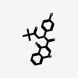 CC(C)(C)C(=O)CN(C(=O)c1c[nH]c2ccccc2c1=O)c1ccc(Cl)cc1